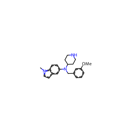 COc1cccc(CN(c2ccc3c(ccn3C)c2)C2CCNCC2)c1